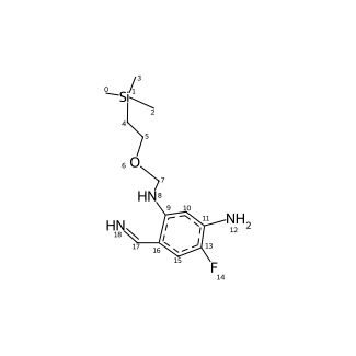 C[Si](C)(C)CCOCNc1cc(N)c(F)cc1C=N